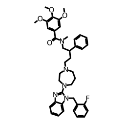 COc1cc(C(=O)N(C)CC(CCN2CCCN(c3nc4ccccc4n3Cc3ccccc3F)CC2)c2ccccc2)cc(OC)c1OC